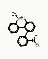 [CH2]c1cccc(-c2ccccc2N(CC)CC)c1-c1ccccc1N(CC)CC